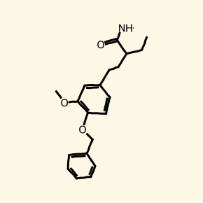 CCC(CCc1ccc(OCc2ccccc2)c(OC)c1)C([NH])=O